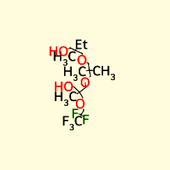 CCC(C)(CO)COCC(C)(C)COCC(C)(CO)COCC(F)(F)C(F)(F)F